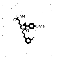 COC(=O)CCCCN(CCCc1cccc(Cl)c1)C(=O)C1(c2ccc(OC)cc2)CC1